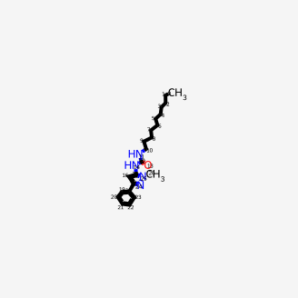 CCCCCCCCCCCNC(=O)Nc1cc(-c2ccccc2)nn1C